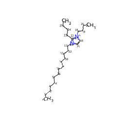 CCCCCCCCCCCCCCn1cc[n+](CCCC)c1CCCC